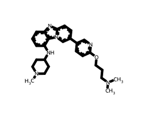 CN(C)CCCOc1ccc(-c2ccc3nc4cccc(NC5CCN(C)CC5)c4n3c2)cn1